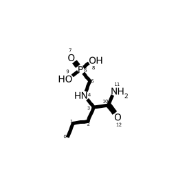 CCCC(NCP(=O)(O)O)C(N)=O